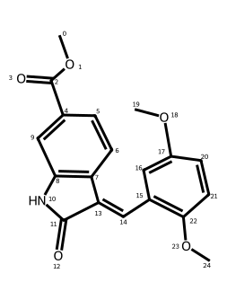 COC(=O)c1ccc2c(c1)NC(=O)/C2=C/c1cc(OC)ccc1OC